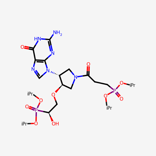 CC(C)OP(=O)(CCC(=O)N1C[C@@H](n2cnc3c(=O)[nH]c(N)nc32)[C@H](OC[C@@H](O)P(=O)(OC(C)C)OC(C)C)C1)OC(C)C